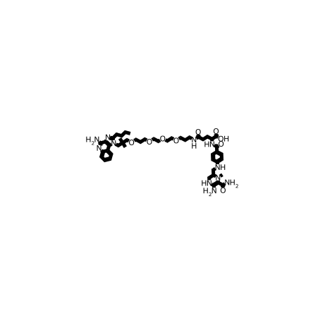 CCCCc1nc2c(N)nc3ccccc3c2n1CC(C)(C)COCCCOCCOCCOCCCNC(=O)CCC(NC(=O)c1ccc(NCC2CNC(N)=C(C(N)=O)N2C)cc1)C(=O)O